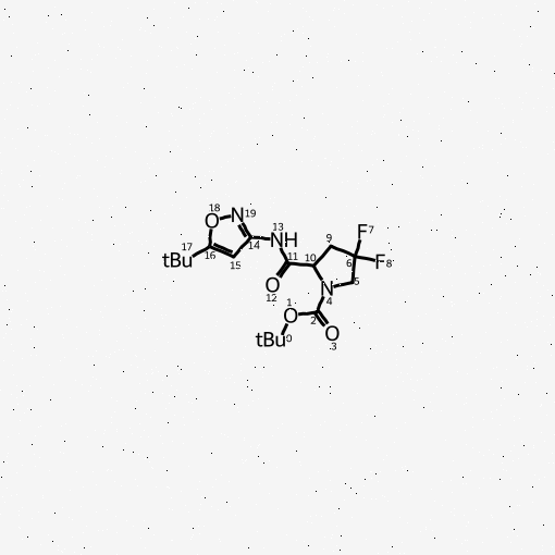 CC(C)(C)OC(=O)N1CC(F)(F)CC1C(=O)Nc1cc(C(C)(C)C)on1